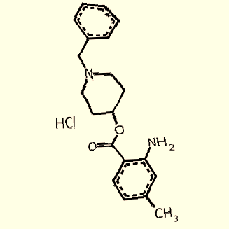 Cc1ccc(C(=O)OC2CCN(Cc3ccccc3)CC2)c(N)c1.Cl